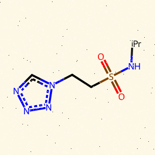 CC(C)NS(=O)(=O)CCn1cnnn1